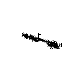 CN(C)c1ccc(-c2ccc(-c3nc4ccc(NCCCCCOc5ccc6c(c5)C(=O)N(C5CCC(=O)NC5=O)C6=O)cc4o3)nc2)cn1